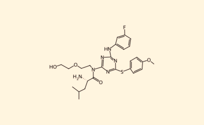 COc1ccc(Sc2nc(Nc3cccc(F)c3)nc(N(CCOCCO)C(=O)[C@@H](N)CC(C)C)n2)cc1